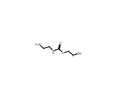 NCCNC(=O)OCCO